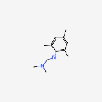 Cc1cc(C)c([N]CN(C)C)c(C)c1